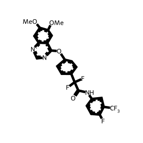 COc1cc2ncnc(Oc3ccc(C(F)(F)C(=O)Nc4ccc(F)c(C(F)(F)F)c4)cc3)c2cc1OC